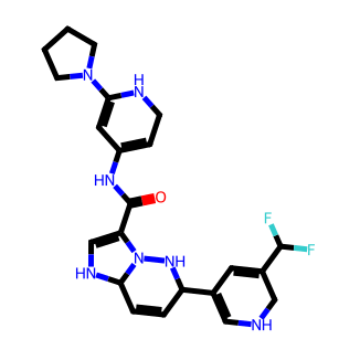 O=C(NC1=CCNC(N2CCCC2)=C1)C1=CNC2C=CC(C3=CNCC(C(F)F)=C3)NN12